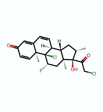 C[C@H]1C[C@H]2[C@@H]3C=CC4=CC(=O)C=C[C@]4(C)[C@@]3(Cl)[C@@H](F)C[C@]2(C)[C@@]1(O)C(=O)CCl